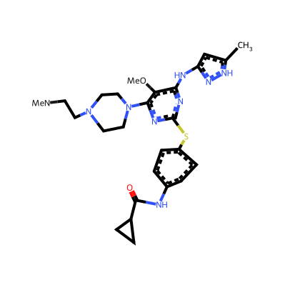 CNCCN1CCN(c2nc(Sc3ccc(NC(=O)C4CC4)cc3)nc(Nc3cc(C)[nH]n3)c2OC)CC1